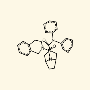 O=C(N1CC2CCC(C1)N2C(=O)N1CCc2ccccc2C1)N(c1ccccc1)c1ccccc1